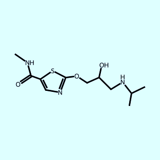 CNC(=O)c1cnc(OCC(O)CNC(C)C)s1